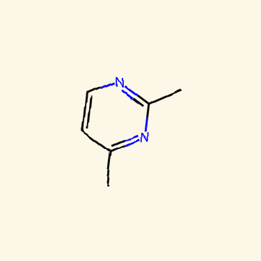 Cc1ccnc(C)n1